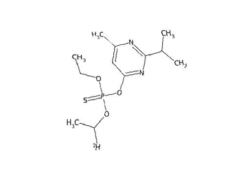 [2H]C(C)OP(=S)(OCC)Oc1cc(C)nc(C(C)C)n1